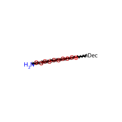 CCCCCCCCCCCCCCCCOCCOCCOCCOCCOCCOCCOCCOCCOCCOCCN